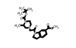 COC(=O)c1ccc2c(c1)N(C(=O)CN1CCN(C(=O)OC(C)(C)C)C(C)C1)CC2